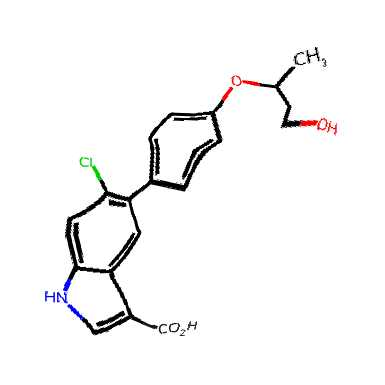 CC(CO)Oc1ccc(-c2cc3c(C(=O)O)c[nH]c3cc2Cl)cc1